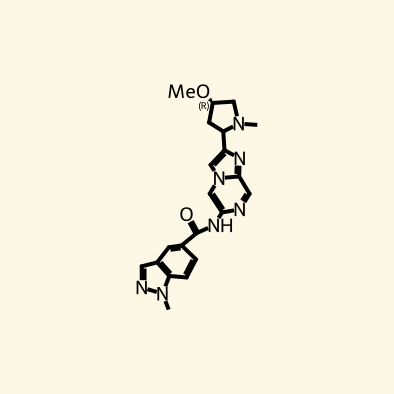 CO[C@@H]1CC(c2cn3cc(NC(=O)c4ccc5c(cnn5C)c4)ncc3n2)N(C)C1